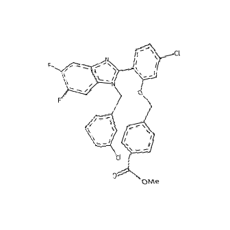 COC(=O)c1ccc(COc2cc(Cl)ccc2-c2nc3cc(F)c(F)cc3n2Cc2cccc(Cl)c2)cc1